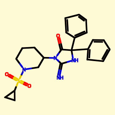 N=C1NC(c2ccccc2)(c2ccccc2)C(=O)N1C1CCCN(S(=O)(=O)C2CC2)C1